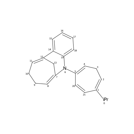 CC(C)C1=CCC=C(N2C3=CCCC=C(C3)c3ccccc32)C=C1